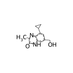 Cc1nc2c(C3CC3)cc(CO)cc2[nH]c1=O